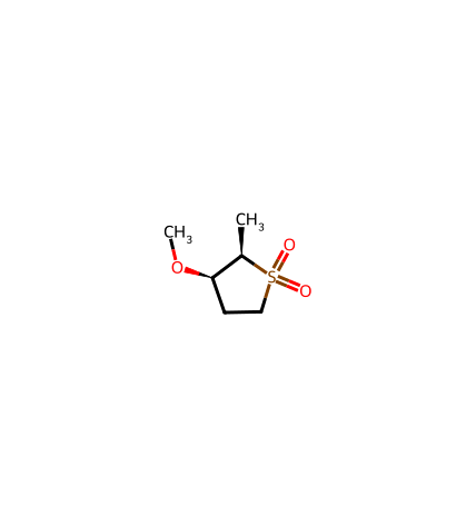 CO[C@@H]1CCS(=O)(=O)[C@@H]1C